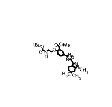 COC(=O)c1cc(-c2noc(-c3nn(C)c4c3CCC(C)(C)C4)n2)ccc1OCCNC(=O)OC(C)(C)C